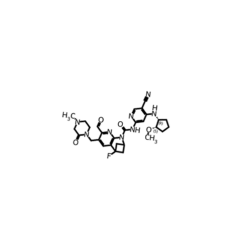 CO[C@H]1CCC[C@H]1Nc1cc(NC(=O)N2c3nc(C=O)c(CN4CCN(C)CC4=O)cc3C3(F)CC2C3)ncc1C#N